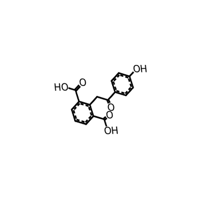 O=C(Cc1c(C(=O)O)cccc1C(=O)O)c1ccc(O)cc1